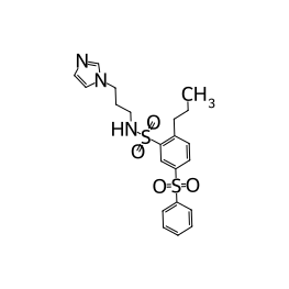 CCCc1ccc(S(=O)(=O)c2ccccc2)cc1S(=O)(=O)NCCCn1ccnc1